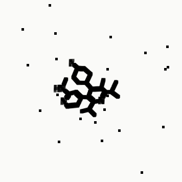 CNc1cc(-c2c(C(C)C)nc(C(C)C)c(C)c2C2CC=C(F)CC2)ccn1